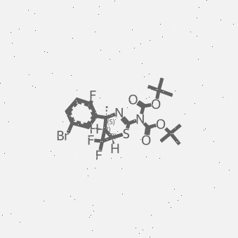 CC(C)(C)OC(=O)N(C(=O)OC(C)(C)C)C1=N[C@](C)(c2cc(Br)ccc2F)[C@H]2[C@@H](S1)C2(F)F